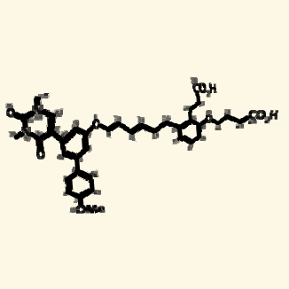 COc1ccc(-c2cc(OCCCCCCc3cccc(OCCCC(=O)O)c3CCC(=O)O)cc(-c3cn(C)c(=O)n(C)c3=O)c2)cc1